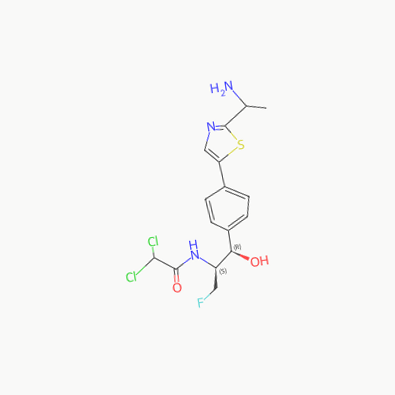 CC(N)c1ncc(-c2ccc([C@@H](O)[C@@H](CF)NC(=O)C(Cl)Cl)cc2)s1